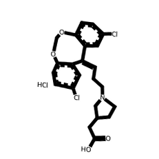 Cl.O=C(O)CC1CCN(CCC=C2c3cc(Cl)ccc3OCOc3ccc(Cl)cc32)C1